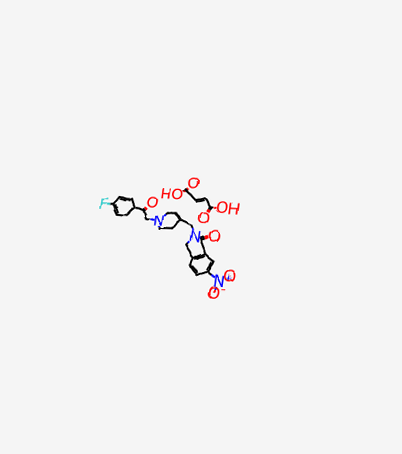 O=C(CN1CCC(CN2Cc3ccc([N+](=O)[O-])cc3C2=O)CC1)c1ccc(F)cc1.O=C(O)C=CC(=O)O